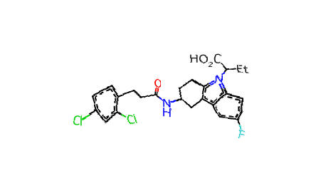 CCC(C(=O)O)n1c2c(c3cc(F)ccc31)CC(NC(=O)CCc1ccc(Cl)cc1Cl)CC2